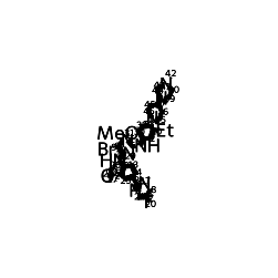 CCc1cc(Nc2ncc(Br)c(Nc3ccc(-c4ncc(F)cn4)cc3P(C)(C)=O)n2)c(OC)cc1N1CCC(N2CCN(C)CC2)CC1